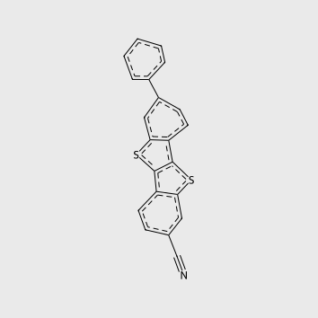 N#Cc1ccc2c(c1)sc1c3ccc(-c4ccccc4)cc3sc21